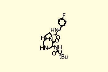 CC(C)(C)OC(=O)N[C@H]1CNCC[C@H]2CC[C@@H](C(=O)NCc3ccc(F)cc3)N2C1=O